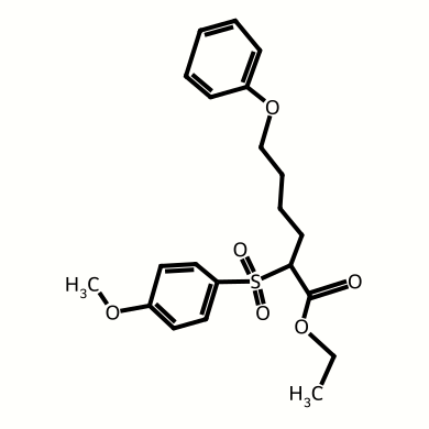 CCOC(=O)C(CCCCOc1ccccc1)S(=O)(=O)c1ccc(OC)cc1